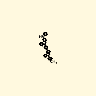 Cc1ccc(C(=Cc2ccc(-c3ccc(C(=Cc4ccc(Nc5ccccc5)cc4)c4ccccc4)cc3)cc2)c2ccccc2)cc1